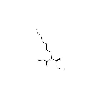 COC(=O)C(CCCCCCO)C(=O)OC